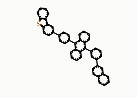 c1cc(-c2ccc3ccccc3c2)cc(-c2c3ccccc3c(-c3ccc(-c4ccc5sc6ccccc6c5c4)cc3)c3ccccc23)c1